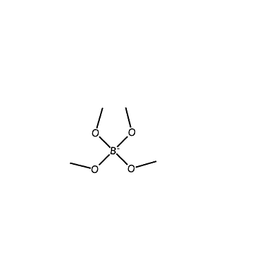 CO[B-](OC)(OC)OC